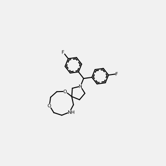 Fc1ccc(C(c2ccc(F)cc2)N2CCC3(CNCCOCCO3)C2)cc1